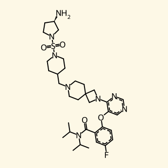 CC(C)N(C(=O)c1cc(F)ccc1Oc1cncnc1N1CC2(CCN(CC3CCN(S(=O)(=O)N4CC[C@@H](N)C4)CC3)CC2)C1)C(C)C